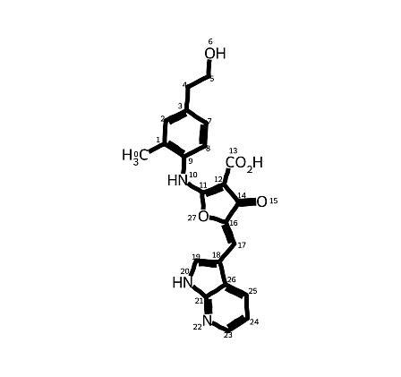 Cc1cc(CCO)ccc1NC1=C(C(=O)O)C(=O)C(=Cc2c[nH]c3ncccc23)O1